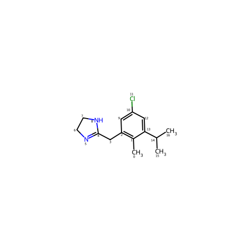 Cc1c(CC2=NCCN2)cc(Cl)cc1C(C)C